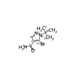 CC(C)(C)n1ncc(C(N)=O)c1Br